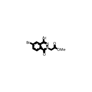 COC(=O)Cn1nc(C(C)=O)c2cc(Br)ccc2c1=O